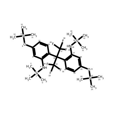 C[Si](C)(C)Nc1cc(O[Si](C)(C)C)ccc1C(c1ccc(O[Si](C)(C)C)cc1N[Si](C)(C)C)(C(F)(F)F)C(F)(F)F